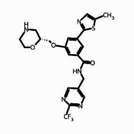 Cc1cnc(-c2cc(OC[C@H]3CNCCO3)cc(C(=O)NCc3cnc(C(F)(F)F)nc3)c2)s1